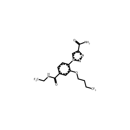 NC(=O)c1cn(-c2ccc(C(=O)NCC(F)(F)F)cc2OCCCC(F)(F)F)nn1